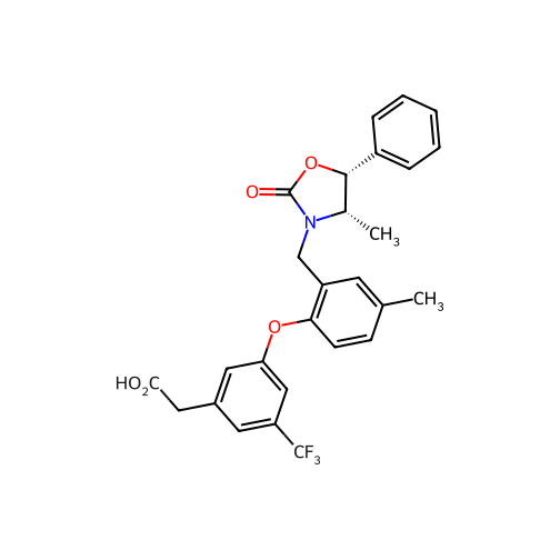 Cc1ccc(Oc2cc(CC(=O)O)cc(C(F)(F)F)c2)c(CN2C(=O)O[C@H](c3ccccc3)[C@@H]2C)c1